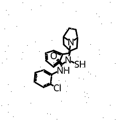 O=C(Nc1ccccc1Cl)N(S)C1CC2CCC(C1)N2Cc1ccccc1